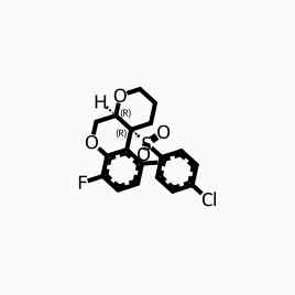 O=S(=O)(c1ccc(Cl)cc1)[C@@]12CCCO[C@@H]1COc1c(F)ccc(F)c12